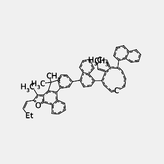 C/C=c1/c(-c2cccc3ccccc23)ccccccc(-c2ccc(-c3ccc4c(c3)-c3c(c5c(C)c(/C=C\CC)oc5c5ccccc35)C4(C)C)c3ccccc23)/c1=C/C